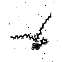 CCCCCCCCCCCC[N+](C)(C)CCCCCCCCCCCC.O=S(=O)([O-])C=Cc1ccccc1